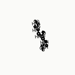 COC(=O)NC(C(=O)N1CCC[C@H]1c1ncc(-c2ccc3[nH]c4c(c3c2)C(c2ccco2)Oc2cc(-c3cnc([C@@H]5CCCN5C(=O)[C@@H](NC(=O)OC)C(C)C)[nH]3)ccc2-4)[nH]1)C(C)C